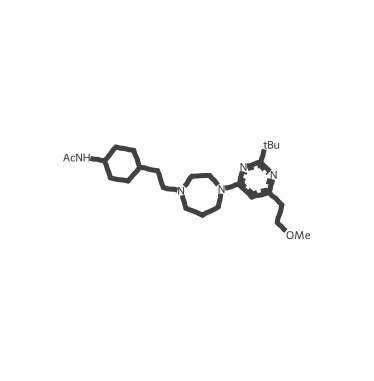 COCCc1cc(N2CCCN(CCC3CCC(NC(C)=O)CC3)CC2)nc(C(C)(C)C)n1